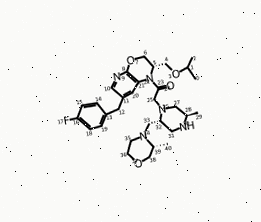 CC(C)OC[C@H]1COc2ncc(Cc3ccc(F)cc3)cc2N1C(=O)CN1C[C@@H](C)NC[C@@H]1CN1CCOC[C@H]1C